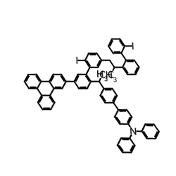 CC(Cc1ccc(I)c(-c2cc(-c3ccc4c5ccccc5c5ccccc5c4c3)ccc2C(C)c2ccc(-c3ccc(N(c4ccccc4)c4ccccc4)cc3)cc2)c1)c1ccccc1-c1ccccc1I